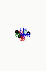 O=C(c1ccccc1Cl)c1cccc2c1NC(NCc1ncccc1F)=NS2(=O)=O